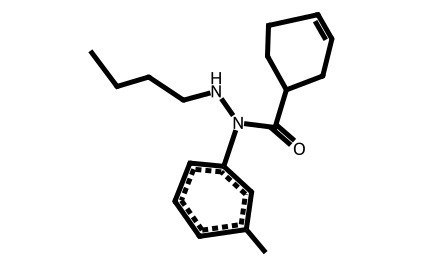 CCCCNN(C(=O)C1CC=CCC1)c1cccc(C)c1